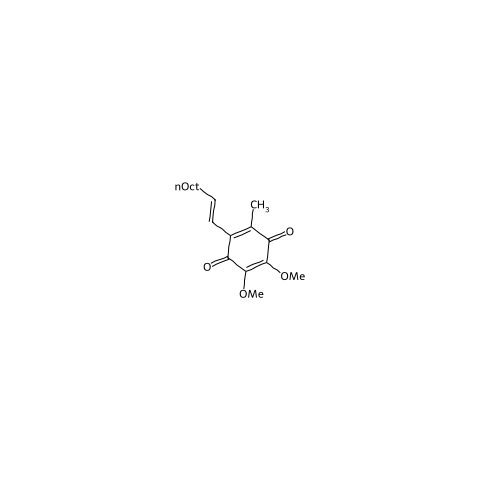 CCCCCCCCC=CC1=C(C)C(=O)C(OC)=C(OC)C1=O